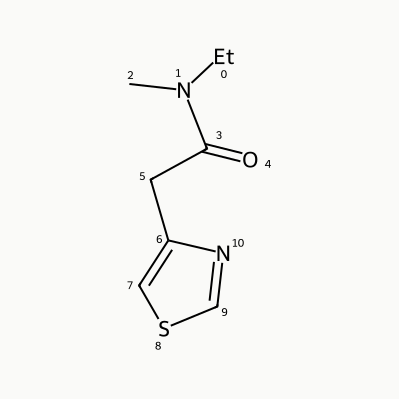 CCN(C)C(=O)Cc1cscn1